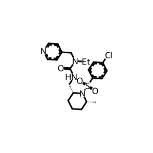 CCN(Cc1ccncc1)C(=O)NC[C@H]1CCC[C@@H](C)N1S(=O)(=O)c1ccc(Cl)cc1